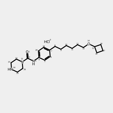 Cl.O=C(Nc1ccc(CCCCCCOC2CCC2)cc1)N1CCNCC1